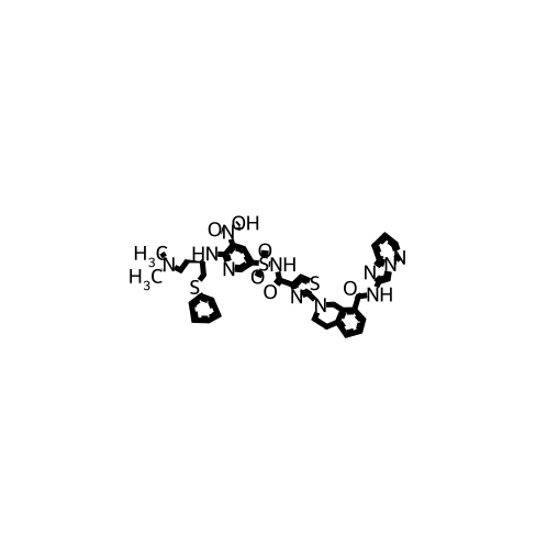 CN(C)CC[C@H](CSc1ccccc1)Nc1ncc(S(=O)(=O)NC(=O)c2csc(N3CCc4cccc(C(=O)Nc5cn6ncccc6n5)c4C3)n2)cc1[N+](=O)O